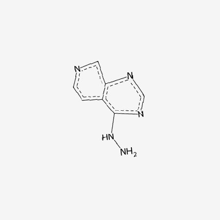 NNc1ncnc2cnccc12